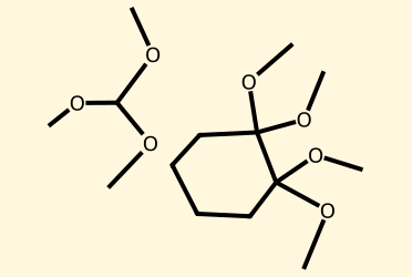 COC(OC)OC.COC1(OC)CCCCC1(OC)OC